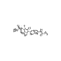 C[C@@H](N[S@+]([O-])C(C)(C)C)c1c(F)c(Cl)c(-c2cn3cc(NC(=O)[C@@H]4C[C@@H]4F)nc3cn2)c2cn[nH]c12